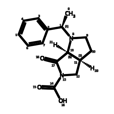 C[C@H](c1ccccc1)N1CC[C@H]2CN(C(=O)O)C(=O)[C@H]21